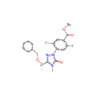 C[C@H](OCc1ccccc1)c1nn(-c2cc(F)c(C(=O)OC(C)(C)C)cc2F)c(=O)n1C